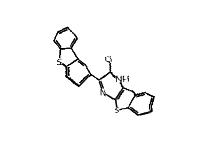 ClC1Nc2c(sc3ccccc23)N=C1c1ccc2sc3ccccc3c2c1